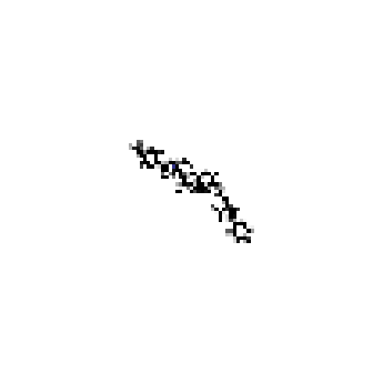 CC/C(=C/C(=O)c1ccc(C(F)(F)F)cc1)N[C@@H](Cc1ccc(OCCc2nc(-c3ccccc3)oc2C)cc1)C(=O)O